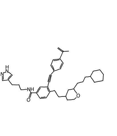 C=C(C)c1ccc(C#Cc2cc(C(=O)NCCCc3cn[nH]c3)ccc2CCC2CCOC(CCCC3CCCCC3)C2)cc1